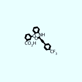 O=C(C#Cc1ccc(C(F)(F)F)cc1)Nc1ccccc1Oc1cccc(C(=O)O)c1